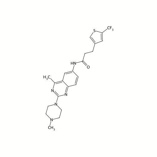 Cc1nc(N2CCN(C)CC2)nc2ccc(NC(=O)CCc3csc(C(F)(F)F)c3)cc12